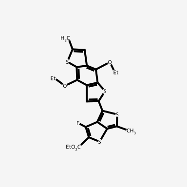 CCOC(=O)c1sc2c(C)sc(-c3cc4c(OCC)c5sc(C)cc5c(OCC)c4s3)c2c1F